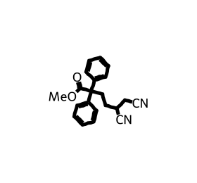 COC(=O)C(CCC(C#N)CC#N)(c1ccccc1)c1ccccc1